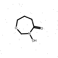 O=C1CCCOCN1O